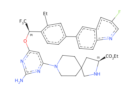 CCOC(=O)[C@@H]1CC2(CCN(c3cc(O[C@H](c4ccc(-c5ccc6ncc(F)cc6c5)cc4CC)C(F)(F)F)nc(N)n3)CC2)CN1